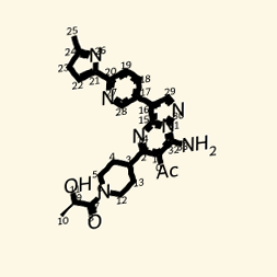 CC(=O)c1c(C2CCN(C(=O)[C@@H](C)O)CC2)nc2c(-c3ccc(C4=CCC(C)=N4)nc3)cnn2c1N